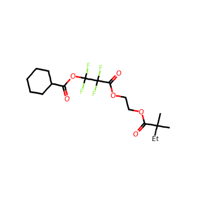 CCC(C)(C)C(=O)OCCOC(=O)C(F)(F)C(F)(F)OC(=O)C1CCCCC1